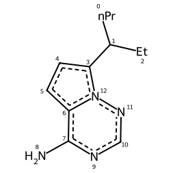 CCCC(CC)c1ccc2c(N)ncnn12